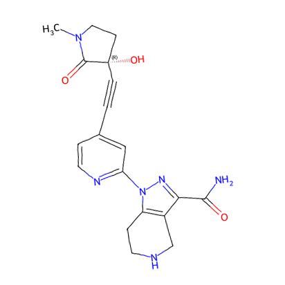 CN1CC[C@@](O)(C#Cc2ccnc(-n3nc(C(N)=O)c4c3CCNC4)c2)C1=O